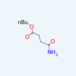 CCCCOC(=O)CCC(N)=O